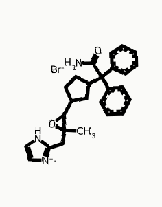 CC1(CC2=[N+]C=CN2)OC1C1CCC(C(C(N)=O)(c2ccccc2)c2ccccc2)C1.[Br-]